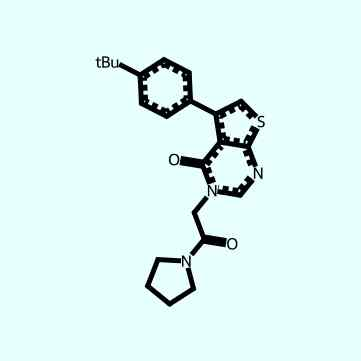 CC(C)(C)c1ccc(-c2csc3ncn(CC(=O)N4CCCC4)c(=O)c23)cc1